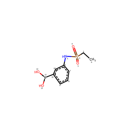 CCS(=O)(=O)Nc1cccc(B(O)O)c1